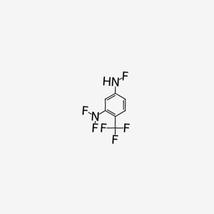 FNc1ccc(C(F)(F)F)c(N(F)F)c1